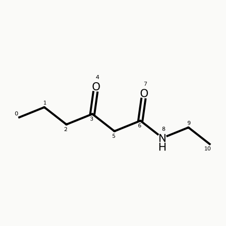 CCCC(=O)CC(=O)NCC